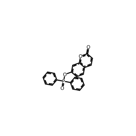 O=c1ccc2ccc(OP(=O)(c3ccccc3)c3ccccc3)cc2o1